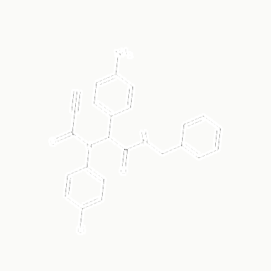 C#CC(=O)N(c1ccc(Cl)cc1)C(C(=O)NCc1ccccc1)c1ccc(N)cc1